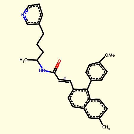 COc1ccc(-c2c(/C=C/C(=O)NC(C)CCCc3cccnc3)ccc3cc(C)ccc23)cc1